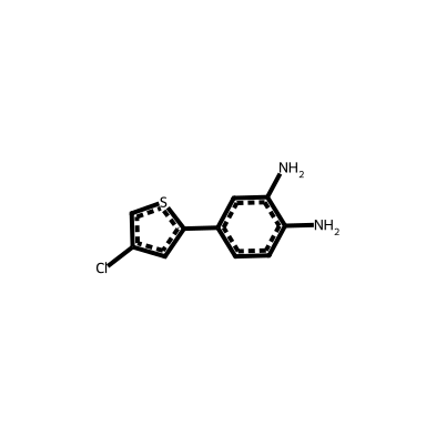 Nc1ccc(-c2cc(Cl)cs2)cc1N